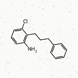 Nc1[c]ccc(Cl)c1CCCc1ccccc1